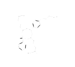 CCCCCCCCCCCCOc1ccc(N2CC(COCC(CC)CCCC)OP(=O)(c3ccccc3)OC(COCC(CC)CCCC)C2)cc1